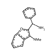 CNc1c(C(N)c2ccccc2)oc2ccccc12